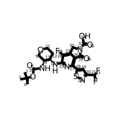 CC(C)(C)OC(=O)N[C@H]1COCC[C@H]1Nc1nc(-c2cc(C(F)F)ns2)c2c(c1F)CN(C(=O)O)C2=O